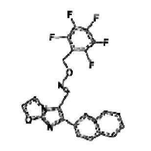 Fc1c(F)c(F)c(CON=Cc2c(-c3ccc4ccccc4c3)nc3occn23)c(F)c1F